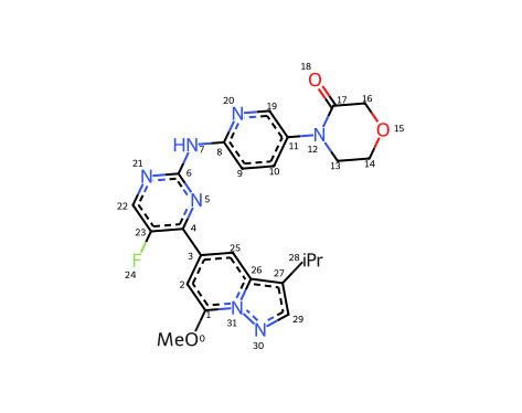 COc1cc(-c2nc(Nc3ccc(N4CCOCC4=O)cn3)ncc2F)cc2c(C(C)C)cnn12